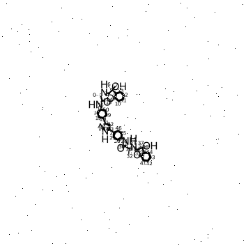 C[C@H](NC(=O)[C@@](C)(O)c1ccccc1)C(=O)Nc1ccc(-c2cc(-c3ccc(NC(=O)[C@H](C)NC(=O)[C@@](C)(O)c4ccccc4)cc3)[nH]n2)cc1